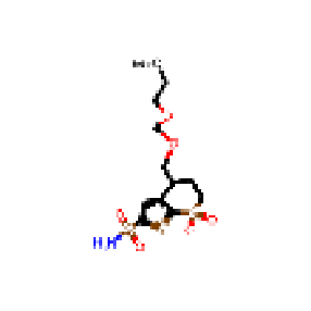 COCCOCOCC1CCS(=O)(=O)c2sc(S(N)(=O)=O)cc21